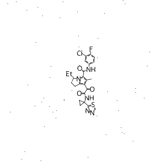 CCC1CCc2c(C(=O)C(=O)NC3(c4nncs4)CC3)c(C)c(C(=O)Nc3ccc(F)c(Cl)c3)n21